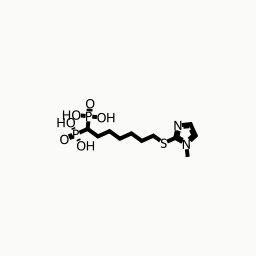 Cn1ccnc1SCCCCCCC(P(=O)(O)O)P(=O)(O)O